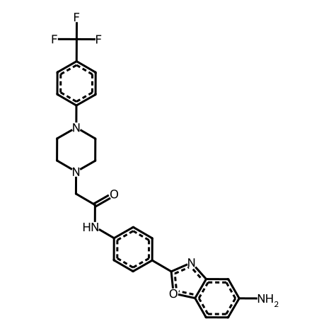 Nc1ccc2oc(-c3ccc(NC(=O)CN4CCN(c5ccc(C(F)(F)F)cc5)CC4)cc3)nc2c1